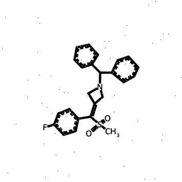 CS(=O)(=O)C(=C1CN(C(c2ccccc2)c2ccccc2)C1)c1ccc(F)cc1